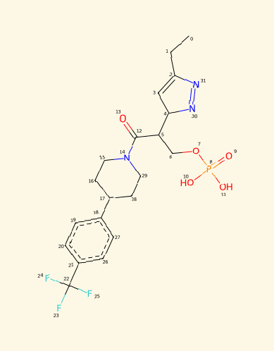 CCC1=CC(C(COP(=O)(O)O)C(=O)N2CCC(c3ccc(C(F)(F)F)cc3)CC2)N=N1